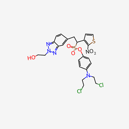 O=[N+]([O-])c1sccc1C(Cc1ccc2nn(CCO)nc2c1)S(=O)(=O)Oc1ccc(N(CCCl)CCCl)cc1